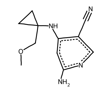 COCC1(Nc2cc(N)ncc2C#N)CC1